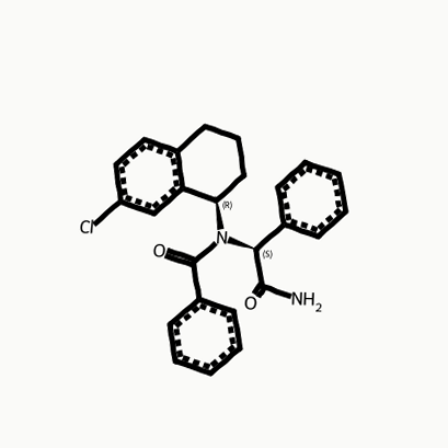 NC(=O)[C@H](c1ccccc1)N(C(=O)c1ccccc1)[C@@H]1CCCc2ccc(Cl)cc21